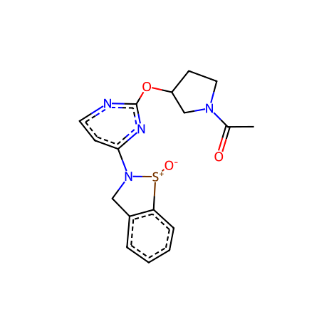 CC(=O)N1CCC(Oc2nccc(N3Cc4ccccc4[S+]3[O-])n2)C1